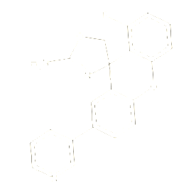 NC1=NC2(CO1)c1cc(-c3cccnc3)ccc1Oc1cccc(F)c12